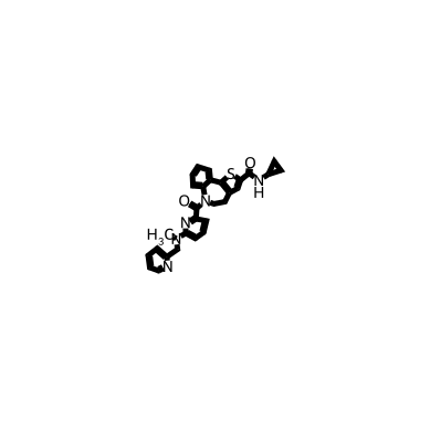 CN(Cc1ccccn1)c1cccc(C(=O)N2CCc3cc(C(=O)NC4CC4)sc3-c3ccccc32)n1